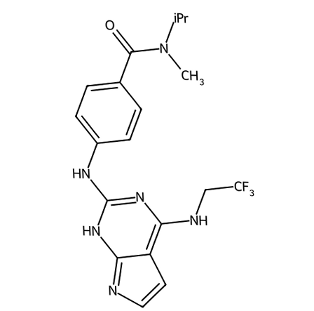 CC(C)N(C)C(=O)c1ccc(Nc2nc(NCC(F)(F)F)c3ccnc-3[nH]2)cc1